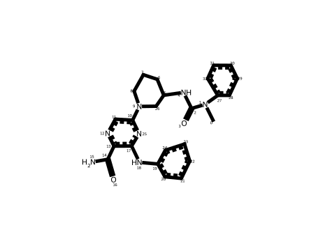 CN(C(=O)NC1CCCN(c2cnc(C(N)=O)c(Nc3ccccc3)n2)C1)c1ccccc1